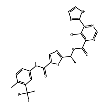 Cc1ccc(NC(=O)c2cnc([C@H](C)NC(=O)c3ncnc(-c4ncc[nH]4)c3Cl)s2)cc1C(F)(F)F